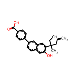 C=CCC(C)(CC)c1cc2cc(-c3ccc(C(=O)O)cc3)ccc2cc1O